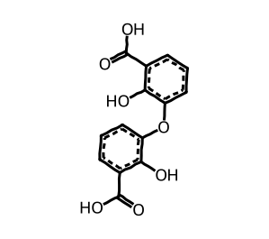 O=C(O)c1cccc(Oc2cccc(C(=O)O)c2O)c1O